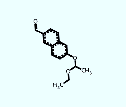 CCOC(C)Oc1ccc2cc(C=O)ccc2c1